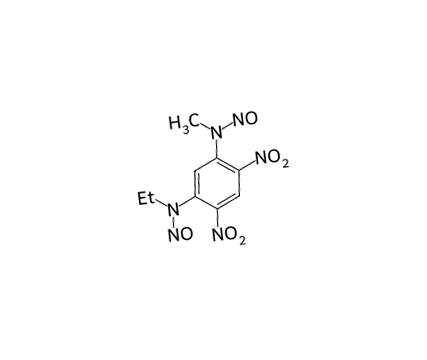 CCN(N=O)c1cc(N(C)N=O)c([N+](=O)[O-])cc1[N+](=O)[O-]